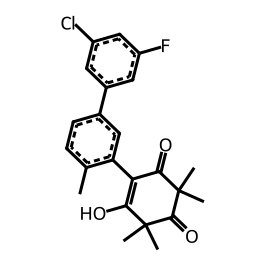 Cc1ccc(-c2cc(F)cc(Cl)c2)cc1C1=C(O)C(C)(C)C(=O)C(C)(C)C1=O